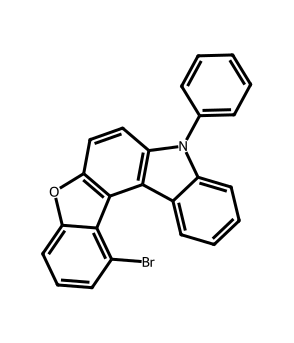 Brc1cccc2oc3ccc4c(c5ccccc5n4-c4ccccc4)c3c12